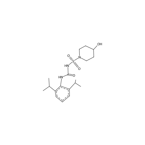 CC(C)c1cccc(C(C)C)c1NC(=O)NS(=O)(=O)N1CCC(O)CC1